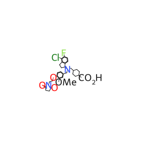 COc1cc(CN(CC2CCC(C(=O)O)CC2)C2CCc3c2ccc(F)c3Cl)ccc1OCCN1C(=O)CCC1=O